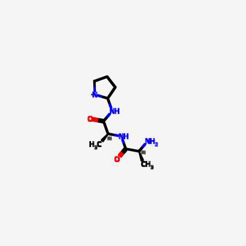 C[C@H](N)C(=O)N[C@@H](C)C(=O)NC1CCC[N]1